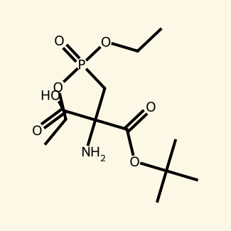 CCOP(=O)(CC(N)(C(=O)O)C(=O)OC(C)(C)C)OCC